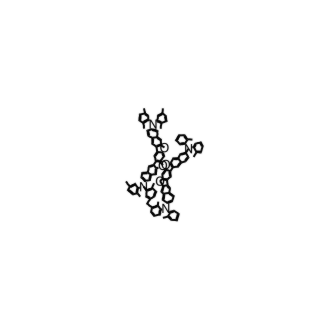 Cc1ccc(C)c(N(c2ccc3cc4c(cc3c2)oc2cc3oc5cc6cc(N(c7cc(C)ccc7C)c7cc(Cc8cccc(N(c9ccc%10cc%11c(cc%10c9)oc9cc%10oc%12cc%13cc(N(c%14ccccc%14C)c%14ccccc%14C)ccc%13cc%12c%10cc9%11)c9ccccc9C)c8C)ccc7C)ccc6cc5c3cc24)c2cc(C)ccc2C)c1